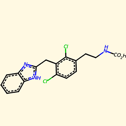 O=C(O)NCCc1ccc(Cl)c(Cc2nc3ccccc3[nH]2)c1Cl